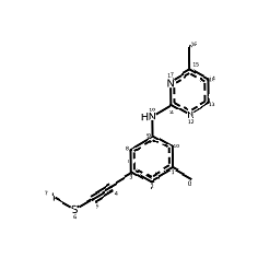 Cc1cc(C#CSI)cc(Nc2nccc(C)n2)c1